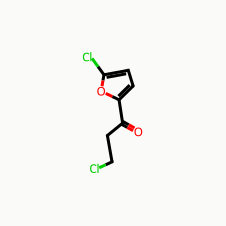 O=C(CCCl)c1ccc(Cl)o1